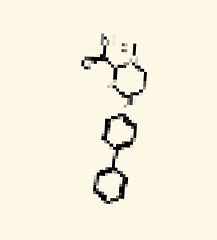 CN1CC[C@H](c2ccc(-c3ccccc3)cc2)[CH]C1C(N)=O